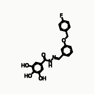 O=C(N/N=C/c1cccc(OCc2ccc(F)cc2)c1)c1cc(O)c(O)c(O)c1